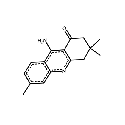 Cc1ccc2c(N)c3c(nc2c1)CC(C)(C)CC3=O